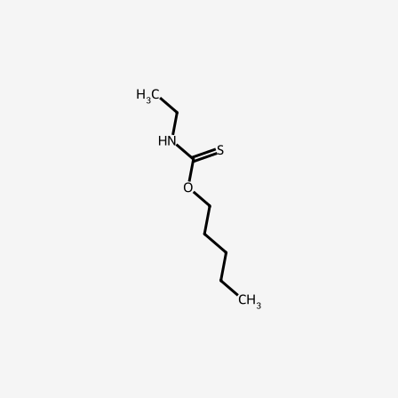 CCCCCOC(=S)NCC